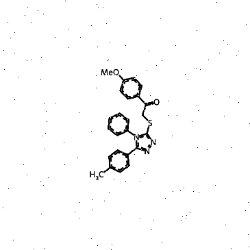 COc1ccc(C(=O)CSc2nnc(-c3ccc(C)cc3)n2-c2ccccc2)cc1